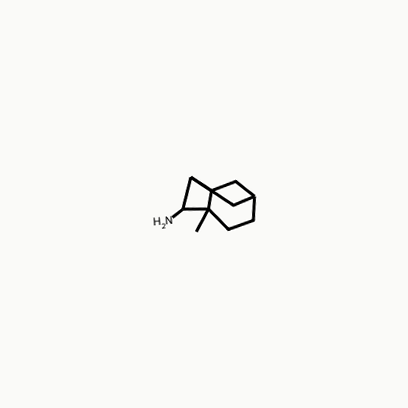 CC12CCC3CC(C1N)C2C3